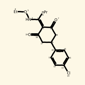 CCCC(NOCC)=C1C(=O)CC(c2ccc(Cl)cc2)CC1=O